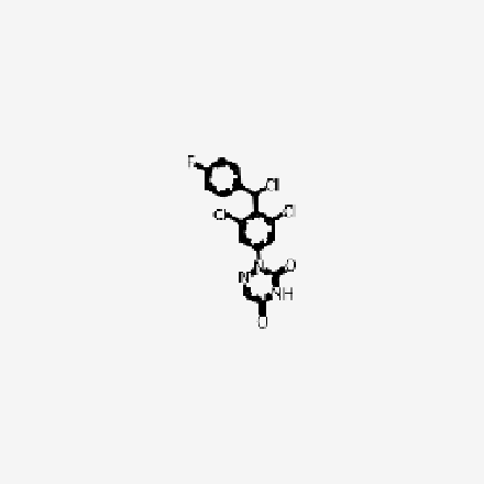 O=c1cnn(-c2cc(Cl)c(C(Cl)c3ccc(F)cc3)c(Cl)c2)c(=O)[nH]1